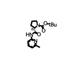 Cc1cccc(NC(=O)[C@@H]2CCCN2C(=O)OC(C)(C)C)n1